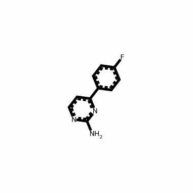 Nc1nccc(-c2ccc(F)cc2)n1